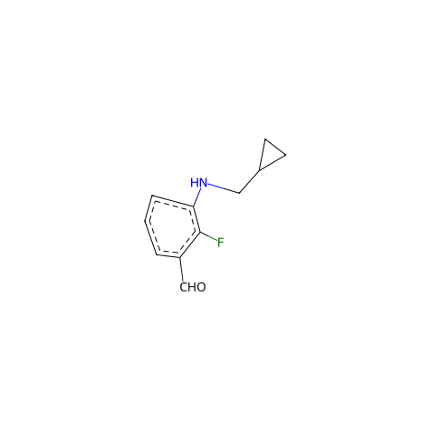 O=Cc1cccc(NCC2CC2)c1F